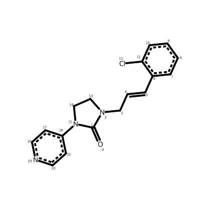 O=C1N(C/C=C/c2ccccc2Cl)CCN1c1ccncc1